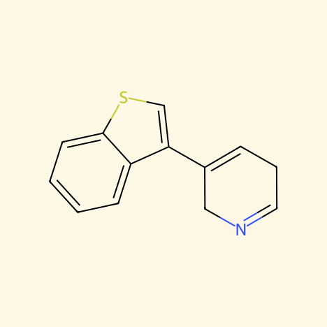 C1=NCC(c2csc3ccccc23)=CC1